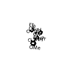 CCO[C@@H]1OC(=O)C[C@@H]1NC(=O)[C@@H]1CCCN1C(=O)[C@@H](NC(=O)C1=C(Cl)CC(OC)C=C1)C(C)C